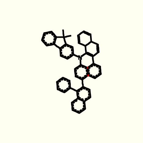 CC1(C)c2ccccc2-c2ccc(N(C3=C(c4ccccc4)C=CC4C=CC=CC34)c3ccc(-c4ccc5ccccc5c4-c4ccccc4)cc3)cc21